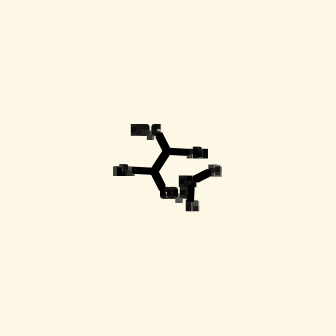 CCCCC(C(=O)O)C(CCCC)C(=O)O.CCNCC